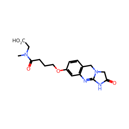 CN(CC(=O)O)C(=O)CCCOc1ccc2c(c1)N=C1NC(=O)CN1C2